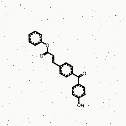 O=C(/C=C/c1ccc(C(=O)c2ccc(O)cc2)cc1)Oc1ccccc1